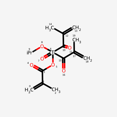 C=C(C)C(=O)[O][Ti](=[O])([O]C(C)C)([C](=O)C(=C)C)[C](=O)C(=C)C